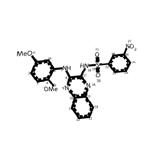 COc1ccc(OC)c(Nc2nc3ccccc3nc2NS(=O)(=O)c2cccc([N+](=O)[O-])c2)c1